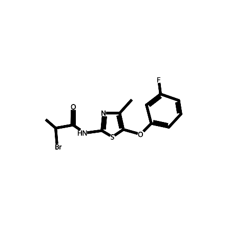 Cc1nc(NC(=O)C(C)Br)sc1Oc1cccc(F)c1